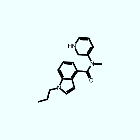 CCCn1ccc2c(C(=O)N(C)C3=CC=CNC3)cccc21